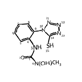 CN(O)C(=O)Nc1ccccc1-n1nnnc1S